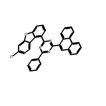 Clc1ccc2c(c1)oc1cccc(-c3nc(-c4ccccc4)nc(-c4cc5ccccc5c5ccccc45)n3)c12